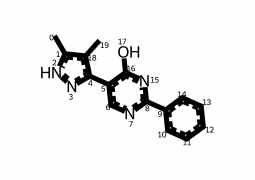 Cc1[nH]nc(-c2cnc(-c3ccccc3)nc2O)c1C